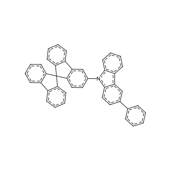 c1ccc(-c2ccc3c(c2)c2ccccc2n3-c2ccc3c(c2)-c2ccccc2C32c3ccccc3-c3ccccc32)cc1